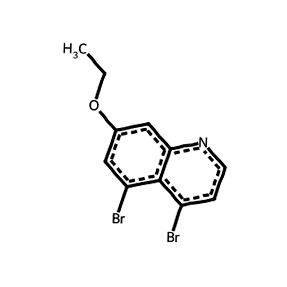 CCOc1cc(Br)c2c(Br)ccnc2c1